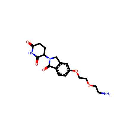 NCCOCCOc1ccc2c(c1)CN(C1CCC(=O)NC1=O)C2=O